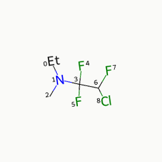 CCN(C)C(F)(F)C(F)Cl